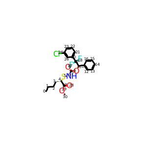 CCCC[C@H](SNC(=O)OC(c1ccccc1)C(F)(F)c1cccc(Cl)c1)C(=O)OC